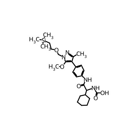 COc1c(-c2ccc(NC(=O)C(NC(=O)O)C3CCCCC3)cc2)c(C)nn1COCC[Si](C)(C)C